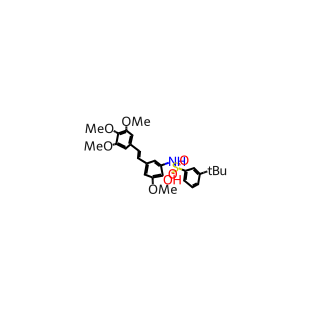 COc1cc(C=Cc2cc(OC)c(OC)c(OC)c2)cc(NS(=O)(=O)c2cccc(C(C)(C)C)c2)c1O